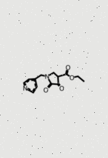 CCOC(=O)C1CN(Cc2ccncc2)C(=O)C1=O